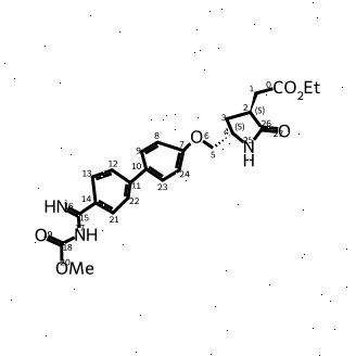 CCOC(=O)C[C@@H]1C[C@@H](COc2ccc(-c3ccc(C(=N)NC(=O)OC)cc3)cc2)NC1=O